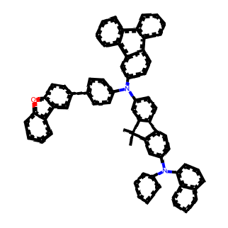 CC1(C)c2cc(N(c3ccc(-c4ccc5oc6ccccc6c5c4)cc3)c3ccc4c5ccccc5c5ccccc5c4c3)ccc2-c2ccc(N(c3ccccc3)c3cccc4ccccc34)cc21